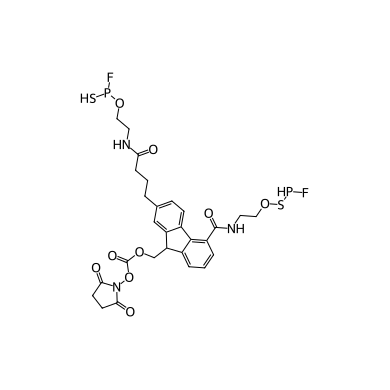 O=C(CCCc1ccc2c(c1)C(COC(=O)ON1C(=O)CCC1=O)c1cccc(C(=O)NCCOSPF)c1-2)NCCOP(F)S